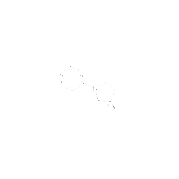 F[C@@H]1CCN(c2c[c]ccc2)C1